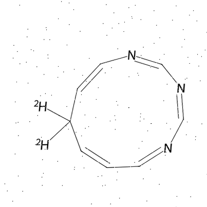 [2H]C1([2H])C=CC=NC=NC=NC=C1